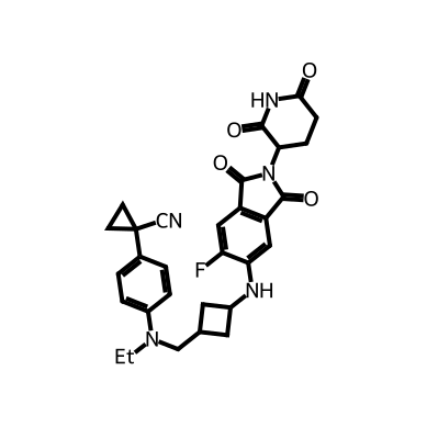 CCN(CC1CC(Nc2cc3c(cc2F)C(=O)N(C2CCC(=O)NC2=O)C3=O)C1)c1ccc(C2(C#N)CC2)cc1